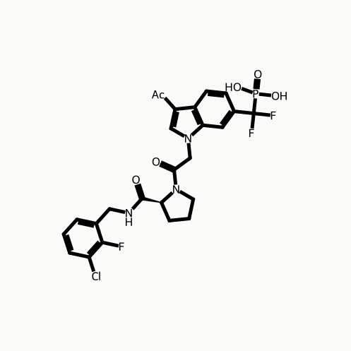 CC(=O)c1cn(CC(=O)N2CCC[C@H]2C(=O)NCc2cccc(Cl)c2F)c2cc(C(F)(F)P(=O)(O)O)ccc12